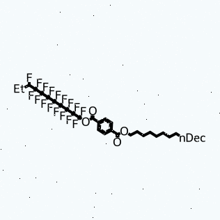 CCCCCCCCCCCCCCCCCCOC(=O)c1ccc(C(=O)OC(F)(F)C(F)(F)C(F)(F)C(F)(F)C(F)(F)C(F)(F)C(F)(F)C(F)(F)C(F)CC)cc1